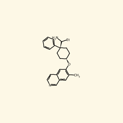 CCC(N)[C@]1(c2ccccc2)CC[C@H](Oc2cc3ccncc3cc2C)CC1